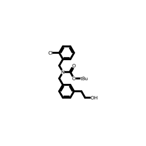 CC(C)(C)OC(=O)N(Cc1cccc(CCO)c1)Cc1ccccc1Cl